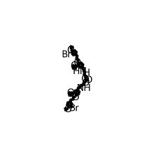 CC(C)Oc1ccc(CCCOc2ccc(CNCCCO[PH](=O)OCCCNCc3ccc(OCCCc4ccc(OC(C)C)c(Br)c4)c(-c4ccco4)c3)cc2-c2ccco2)cc1Br